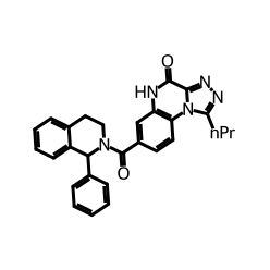 CCCc1nnc2c(=O)[nH]c3cc(C(=O)N4CCc5ccccc5C4c4ccccc4)ccc3n12